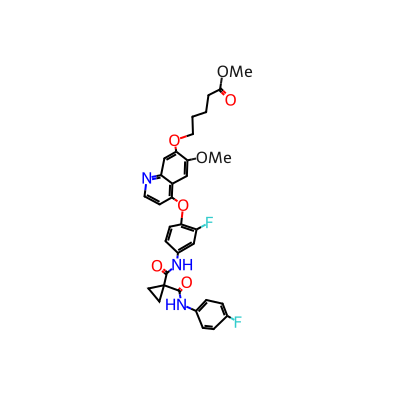 COC(=O)CCCCOc1cc2nccc(Oc3ccc(NC(=O)C4(C(=O)Nc5ccc(F)cc5)CC4)cc3F)c2cc1OC